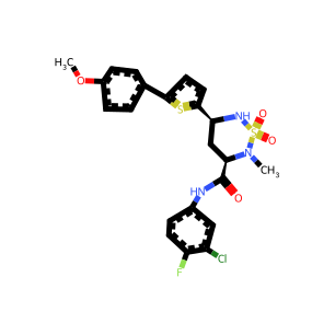 COc1ccc(-c2ccc([C@@H]3C[C@H](C(=O)Nc4ccc(F)c(Cl)c4)N(C)S(=O)(=O)N3)s2)cc1